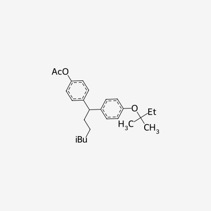 CCC(C)CCC(c1ccc(OC(C)=O)cc1)c1ccc(OC(C)(C)CC)cc1